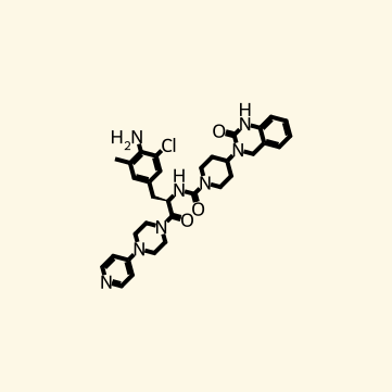 Cc1cc(C[C@@H](NC(=O)N2CCC(N3Cc4ccccc4NC3=O)CC2)C(=O)N2CCN(c3ccncc3)CC2)cc(Cl)c1N